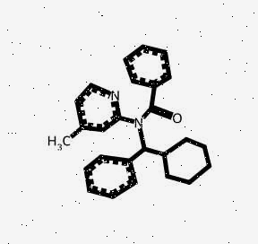 Cc1ccnc(N(C(=O)c2ccccc2)C(c2ccccc2)C2CCCCC2)c1